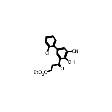 CCOC(=O)CCC(=O)c1cc(-c2ccccc2Cl)cc(C#N)c1O